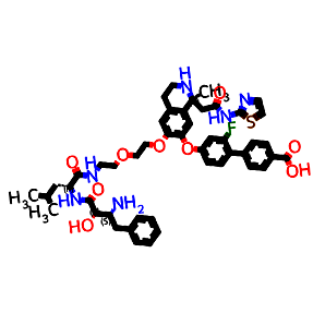 CC(C)C[C@@H](NC(=O)[C@H](O)[C@@H](N)Cc1ccccc1)C(=O)NCCOCCOc1cc2c(cc1Oc1ccc(-c3ccc(C(=O)O)cc3)c(F)c1)[C@@](C)(CC(=O)Nc1nccs1)NCC2